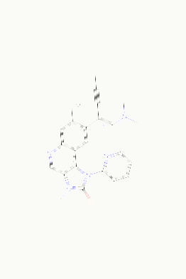 CC#C/C(=C\N(C)C)c1cc2c(cc1OC)ncc1c2n(-c2ccccn2)c(=O)n1C